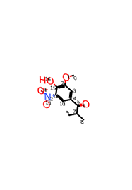 COc1cc(C(=O)C(C)C)cc([N+](=O)[O-])c1O